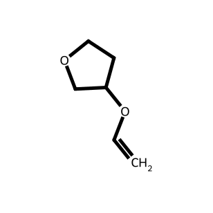 C=COC1CCOC1